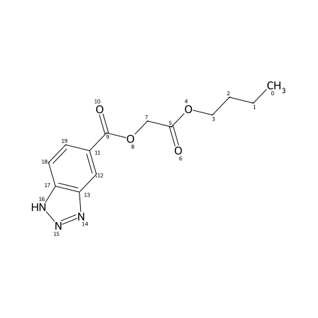 CCCCOC(=O)COC(=O)c1[c]c2nn[nH]c2cc1